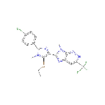 CCSc1c(-c2nc3cc(C(F)(F)F)nnc3n2C)nc(-c2ccc(Cl)cc2)n1C